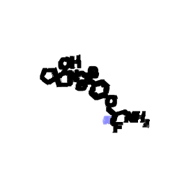 NC/C(=C\F)COc1ccc(S(=O)(=O)CN2CCC3(CCCC3)C2O)cc1